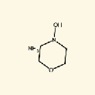 N.ON1CCOCC1